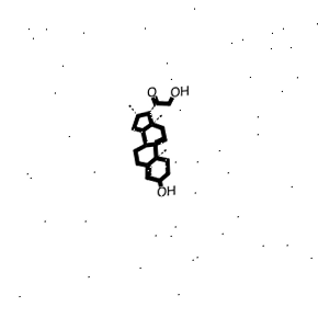 C[C@H]1CC2C3CCC4=CC(O)CC[C@]4(C)C3=CC[C@]2(C)[C@H]1C(=O)CO